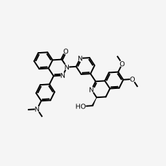 COc1cc2c(cc1OC)C(c1ccnc(-n3nc(-c4ccc(N(C)C)cc4)c4ccccc4c3=O)c1)=N[C@H](CO)C2